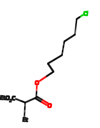 CCOC(=O)C(CC)C(=O)OCCCCCCCl